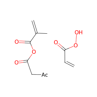 C=C(C)C(=O)OC(=O)CC(C)=O.C=CC(=O)OO